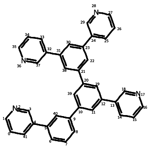 c1cncc(-c2cccc(-c3cc(-c4cccnc4)cc(-c4cc(-c5cccnc5)cc(-c5cccnc5)c4)c3)c2)c1